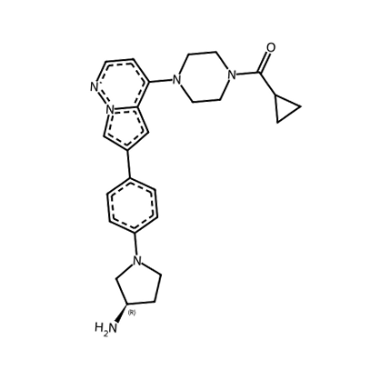 N[C@@H]1CCN(c2ccc(-c3cc4c(N5CCN(C(=O)C6CC6)CC5)ccnn4c3)cc2)C1